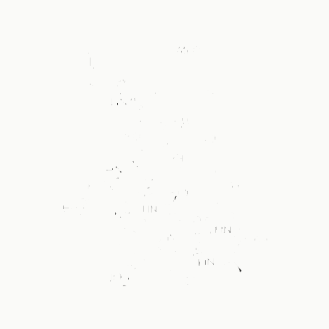 COCCOCCOCCOCCNC(=O)[C@@H](C)NC(=O)[C@H](CC(=O)O)NC(=O)[C@@H](NC(=O)[C@H](CCC(=O)O)NC(=O)[C@H](CC(=O)O)NC(=O)C1OC(C(=O)NCCF)C(O)C1O)C(C)C